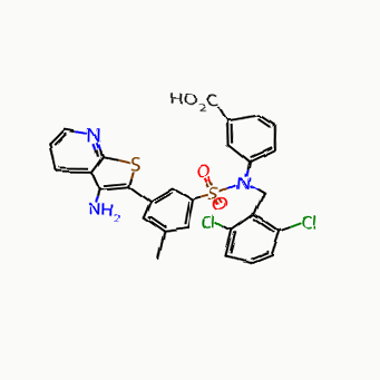 Cc1cc(-c2sc3ncccc3c2N)cc(S(=O)(=O)N(Cc2c(Cl)cccc2Cl)c2cccc(C(=O)O)c2)c1